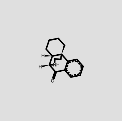 O=C1c2ccccc2[C@@]23CCCC[C@H]2[C@@H]1NCC3